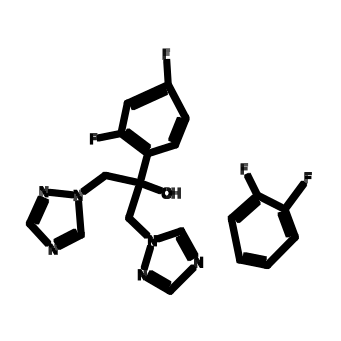 Fc1ccccc1F.OC(Cn1cncn1)(Cn1cncn1)c1ccc(F)cc1F